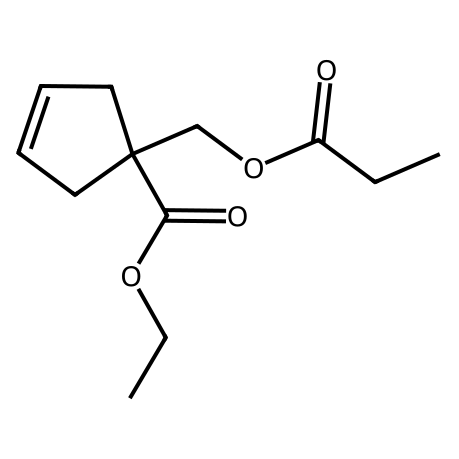 CCOC(=O)C1(COC(=O)CC)CC=CC1